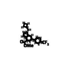 COC(=O)c1cc(-c2ccc(C(F)(F)F)nc2)cc2c1ccn2CC1CCC1